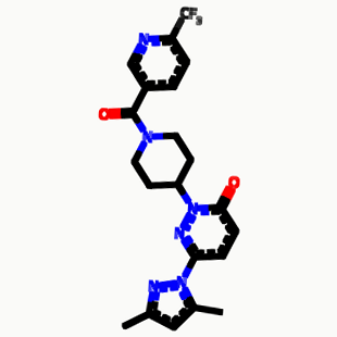 Cc1cc(C)n(-c2ccc(=O)n(C3CCN(C(=O)c4ccc(C(F)(F)F)nc4)CC3)n2)n1